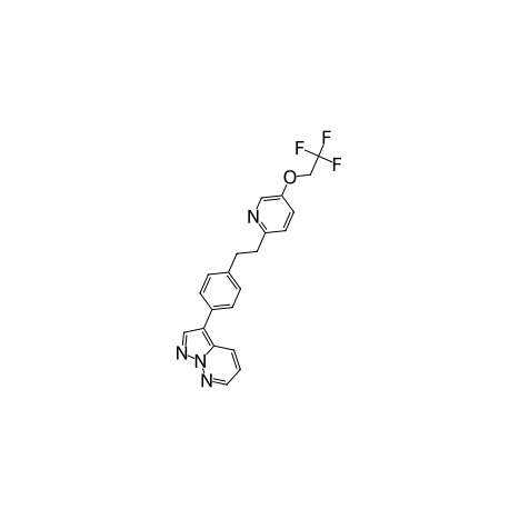 FC(F)(F)COc1ccc(CCc2ccc(-c3cnn4ncccc34)cc2)nc1